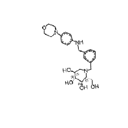 OC[C@@H]1[C@@H](O)[C@H](O)[C@@H](O)CN1Cc1cccc(CNc2ccc(N3CCOCC3)cc2)c1